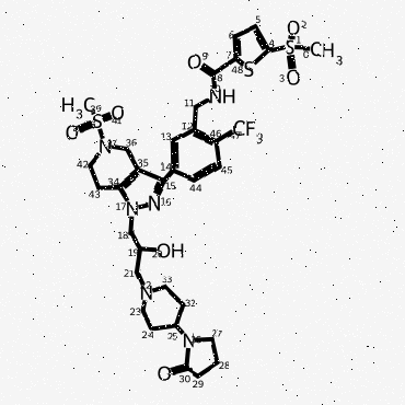 CS(=O)(=O)c1ccc(C(=O)NCc2cc(-c3nn(CC(O)CN4CCC(N5CCCC5=O)CC4)c4c3CN(S(C)(=O)=O)CC4)ccc2C(F)(F)F)s1